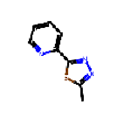 Cc1nnc(-c2ccccn2)s1